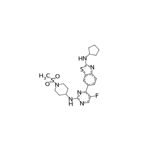 CS(=O)(=O)N1CCC(Nc2ncc(F)c(-c3ccc4nc(NC5CCCC5)sc4c3)n2)CC1